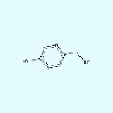 CC(C)Cc1cnc(C(C)C)cn1